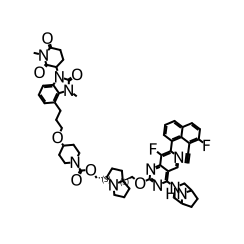 C#Cc1c(F)ccc2cccc(-c3ncc4c(N5CC6CCC(C5)N6)nc(OC[C@@]56CCCN5[C@H](COC(=O)N5CCC(OCCCc7cccc8c7n(C)c(=O)n8C7CCC(=O)N(C)C7=O)CC5)CC6)nc4c3F)c12